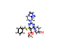 COC(=O)c1c(SCc2ccccc2)nc(N2CCn3ccnc3C2)nc1N1CCC(O)CC1